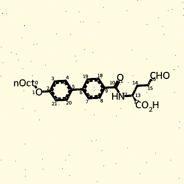 CCCCCCCCOc1ccc(-c2ccc(C(=O)N[C@@H](CCC=O)C(=O)O)cc2)cc1